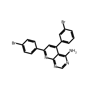 Nc1ncnc2nc(-c3ccc(Br)cc3)cc(-c3cccc(Br)c3)c12